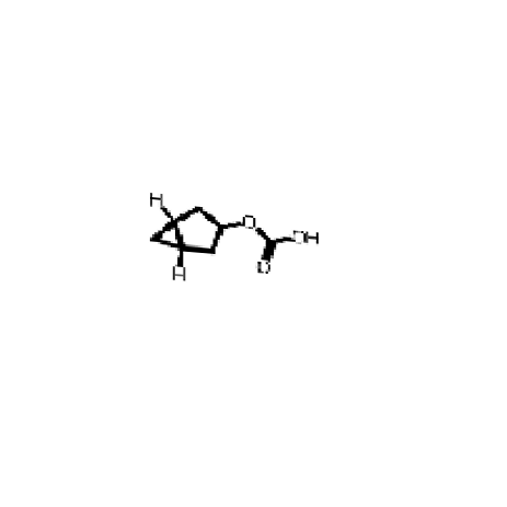 O=C(O)OC1C[C@@H]2C[C@@H]2C1